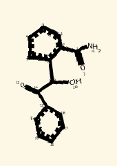 NC(=O)c1ccccc1C(O)C(=O)c1ccccc1